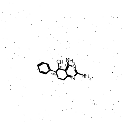 C[C@H]1c2c(N)nc(N)nc2CC[C@H]1c1ccccc1